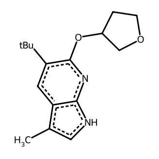 Cc1c[nH]c2nc(OC3CCOC3)c(C(C)(C)C)cc12